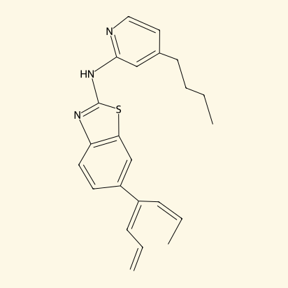 C=C/C=C(\C=C/C)c1ccc2nc(Nc3cc(CCCC)ccn3)sc2c1